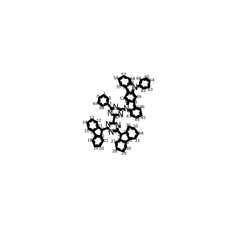 c1ccc(-c2nc(-c3nc(C4c5ccccc5-c5ccccc54)nc(C4c5ccccc5-c5ccccc54)n3)nc(-n3c4ccccc4c4cc5c(cc43)c3ccccc3n5-c3ccccc3)n2)cc1